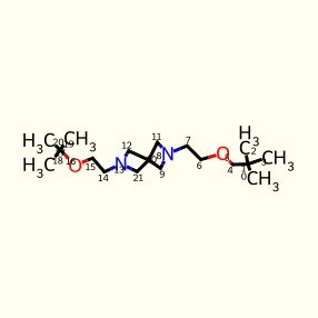 CC(C)(C)COCCN1CC2(C1)CN(CCOC(C)(C)C)C2